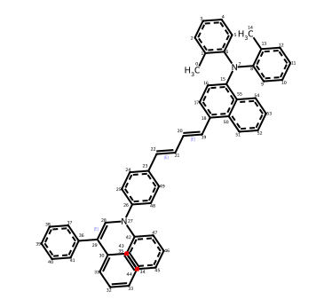 Cc1ccccc1N(c1ccccc1C)c1ccc(/C=C/C=C/c2ccc(N(/C=C(\C3=CC=CCC3)c3ccccc3)c3c#cccc3)cc2)c2ccccc12